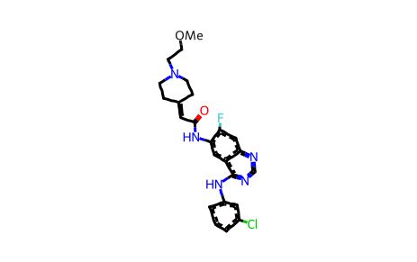 COCCN1CCC(=CC(=O)Nc2cc3c(Nc4cccc(Cl)c4)ncnc3cc2F)CC1